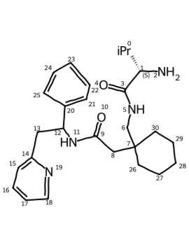 CC(C)[C@H](N)C(=O)NCC1(CC(=O)NC(Cc2ccccn2)c2ccccc2)CCCCC1